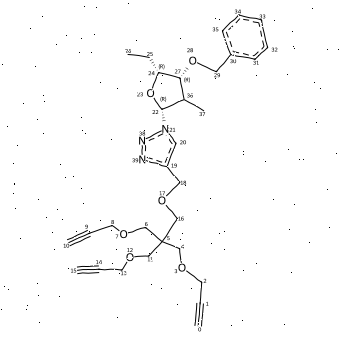 C#CCOCC(COCC#C)(COCC#C)COCc1cn([C@@H]2O[C@H](CC)[C@H](OCc3ccccc3)C2C)nn1